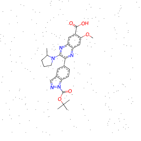 COc1cc2nc(-c3ccc4c(cnn4C(=O)OC(C)(C)C)c3)c(N3CCCC3C)nc2cc1C(=O)O